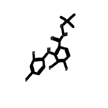 CC(C)(C)ONC(=O)c1ccc(F)c(F)c1Nc1ccc(I)cc1F